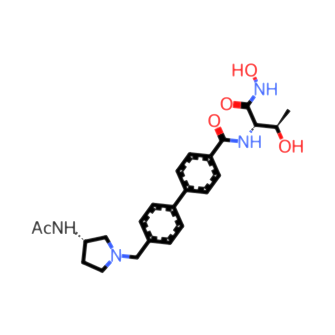 CC(=O)N[C@H]1CCN(Cc2ccc(-c3ccc(C(=O)N[C@H](C(=O)NO)[C@@H](C)O)cc3)cc2)C1